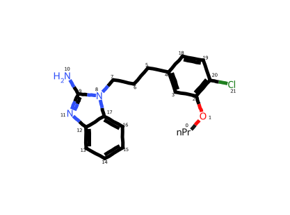 CCCOc1cc(CCCn2c(N)nc3ccccc32)ccc1Cl